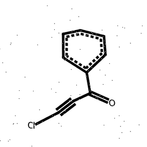 O=C(C#CCl)c1ccccc1